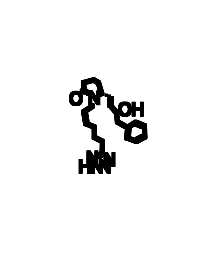 O=C1CCC[C@H](/C=C/C(O)Cc2ccccc2)N1C/C=C\CCCc1nn[nH]n1